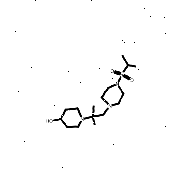 CC(C)S(=O)(=O)N1CCN(CC(C)(C)N2CCC(O)CC2)CC1